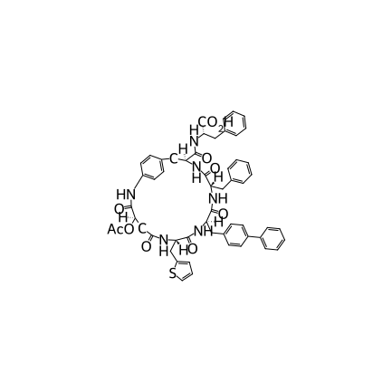 CC(=O)O[C@@H]1CC(=O)N[C@@H](Cc2cccs2)C(=O)N[C@H](Cc2ccc(-c3ccccc3)cc2)C(=O)N[C@@H](Cc2ccccc2)C(=O)N[C@H](C(=O)N[C@@H](Cc2ccccc2)C(=O)O)Cc2ccc(cc2)NC1=O